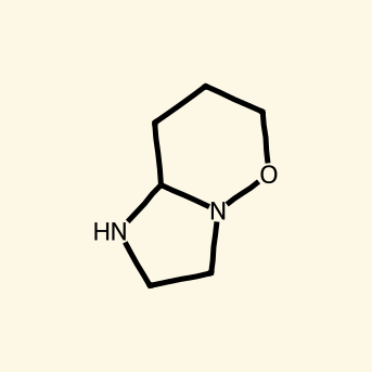 C1CON2CCNC2C1